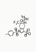 [2H]C([2H])([2H])OC1(C(F)(F)F)CCc2c(S(=O)(=O)Cl)cn(S(=O)(=O)c3ccc(C)cc3)c2C1